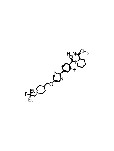 C=C(N)C1CCCCN1C(=O)c1ccc(-c2ncc(OCC3CCN(CC(F)(CC)CC)CC3)cn2)cc1F